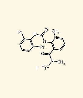 CC(C)c1cccc(C(C)C)c1OC(=O)Oc1c(C(=O)N(C)C)ccc[n+]1C.[I-]